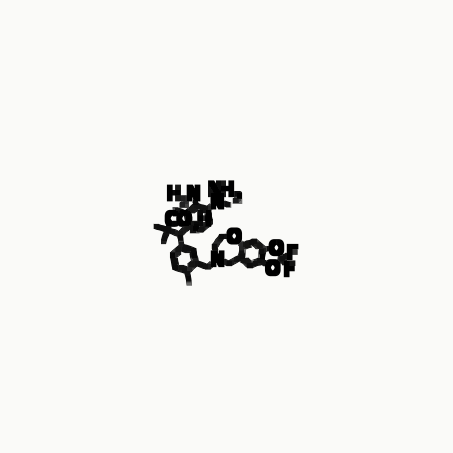 Cc1ccc(C(c2ccc(N(C)N)c(N)c2C)C(C)(C)C(=O)O)cc1CN1CCOc2cc3c(cc2C1)OC(F)(F)O3